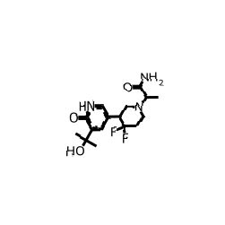 CC(C(N)=O)N1CCC(F)(F)C(c2c[nH]c(=O)c(C(C)(C)O)c2)C1